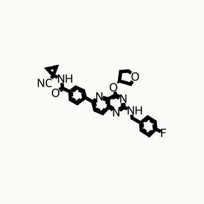 N#CC1(NC(=O)c2ccc(-c3ccc4nc(NCc5ccc(F)cc5)nc(O[C@H]5CCOC5)c4n3)cc2)CC1